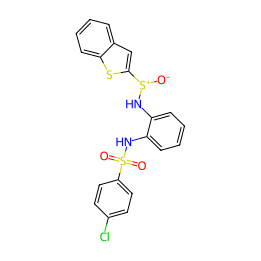 O=S(=O)(Nc1ccccc1N[S+]([O-])c1cc2ccccc2s1)c1ccc(Cl)cc1